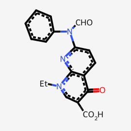 CCn1cc(C(=O)O)c(=O)c2ccc(N(C=O)c3ccccc3)nc21